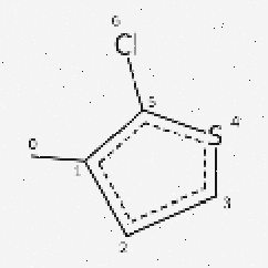 Cc1ccsc1Cl